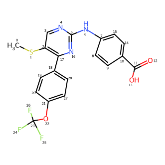 CSc1cnc(Nc2ccc(C(=O)O)cc2)nc1-c1ccc(OC(F)(F)F)cc1